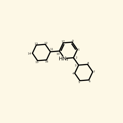 C1=C[C](C2CCCCC2)NC(C2CCCCC2)=C1